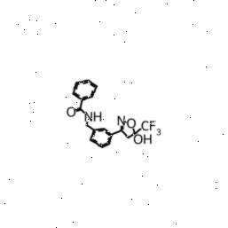 O=C(NCc1cccc(C2=NOC(O)(C(F)(F)F)C2)c1)c1ccccc1